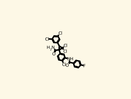 NC(=O)C1(c2ccc(Cl)c(NC(=O)c3ccc(F)cc3)c2)C(c2cc(Cl)cc(Cl)c2)C1(Cl)Cl